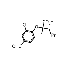 CC(C)CC(C)(Oc1ccc(C=O)cc1Cl)C(=O)O